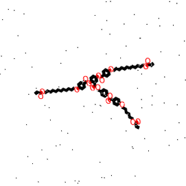 C=CC(=O)OCCCCCCCCCCCCOc1ccc(C(=O)Oc2ccc(OC(=O)c3ccc(OCCCCCCCCCCCCOC(=O)C=C)cc3)c(C(=O)OCc3ccc(OC(=O)c4ccc(OCCCCCCOC(=O)C=C)cc4)cc3)c2)cc1